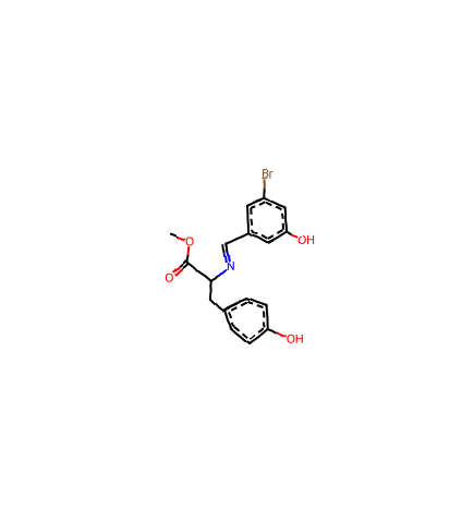 COC(=O)C(Cc1ccc(O)cc1)N=Cc1cc(O)cc(Br)c1